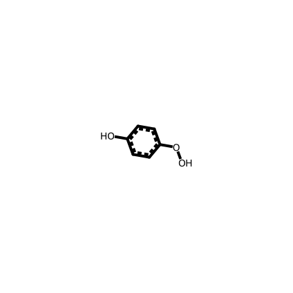 OOc1ccc(O)cc1